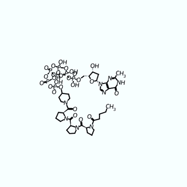 CCCCC(=O)N1CCC[C@H]1C(=O)N1CCC[C@H]1C(=O)N1CCC[C@H]1C(=O)N1CCC(OP(=O)(O)OP(=O)(O)OP(=O)(O)OP(=O)(O)OP(=O)(O)OP(=O)(O)OC[C@H]2O[C@@H](n3cnc4c(=O)[nH]c(C)nc43)C[C@H]2O)CC1